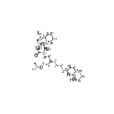 CC(C)OCCN(CCCCc1ccc2c(n1)NCCC2)CCC(NC(=O)c1ccccc1C(F)F)C(=O)O